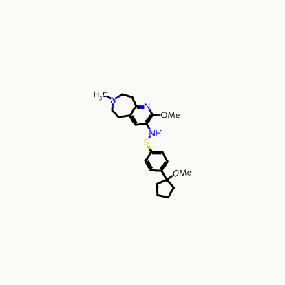 COc1nc2c(cc1NSc1ccc(C3(OC)CCCC3)cc1)CCN(C)CC2